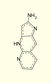 Nc1cc2[nH]c3ncccc3cc-2n1